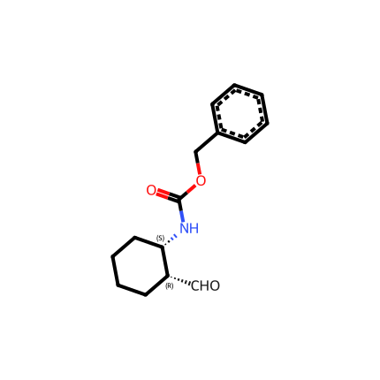 O=C[C@@H]1CCCC[C@@H]1NC(=O)OCc1ccccc1